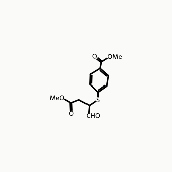 COC(=O)CC(C=O)Sc1ccc(C(=O)OC)cc1